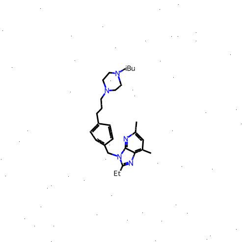 CCc1nc2c(C)cc(C)nc2n1Cc1ccc(CCCN2CCN(C(C)CC)CC2)cc1